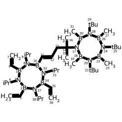 C=CB1N(C(C)C)B(C=C)N(C(C)C)B(/C=C/CC(C)(C)N2B(C)N(C(C)(C)C)B(C)N(C(C)(C)C)B(C)N(C(C)(C)C)B2C)N(C(C)C)B(C=C)N1C(C)C